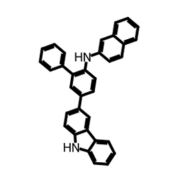 c1ccc(-c2cc(-c3ccc4[nH]c5ccccc5c4c3)ccc2Nc2ccc3ccccc3c2)cc1